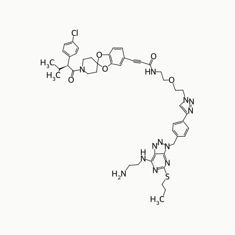 CCCSc1nc(NCCN)c2nnn(Cc3ccc(-c4cn(CCOCCNC(=O)C#Cc5ccc6c(c5)OC5(CCN(C(=O)[C@H](c7ccc(Cl)cc7)C(C)C)CC5)O6)nn4)cc3)c2n1